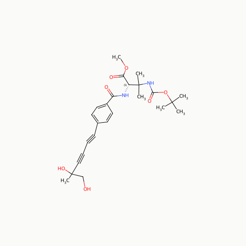 COC(=O)[C@@H](NC(=O)c1ccc(C#CC#CC(C)(O)CO)cc1)C(C)(C)NC(=O)OC(C)(C)C